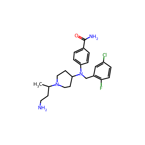 CC(CCN)N1CCC(N(Cc2cc(Cl)ccc2F)c2ccc(C(N)=O)cc2)CC1